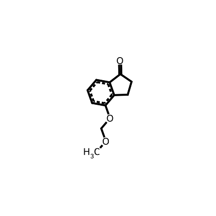 COCOc1cccc2c1CCC2=O